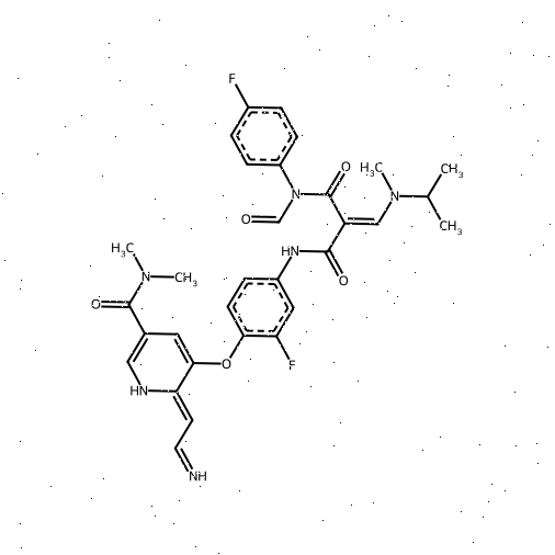 CC(C)N(C)/C=C(/C(=O)Nc1ccc(OC2=CC(C(=O)N(C)C)=CN/C2=C\C=N)c(F)c1)C(=O)N(C=O)c1ccc(F)cc1